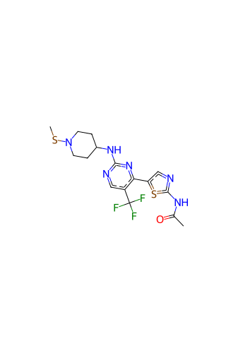 CSN1CCC(Nc2ncc(C(F)(F)F)c(-c3cnc(NC(C)=O)s3)n2)CC1